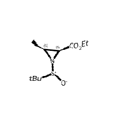 CCOC(=O)[C@@H]1[C@H](C)N1[S+]([O-])C(C)(C)C